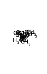 CC1(C)OCC([C@H]2OC3OC(C)(C)O[C@@H]3[C@H]2OC(=O)C2(C)COC(=O)OC2)O1